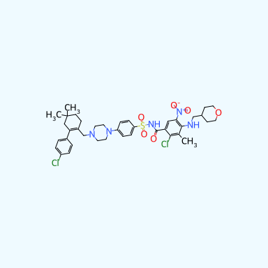 Cc1c(Cl)c(C(=O)NS(=O)(=O)c2ccc(N3CCN(CC4=C(c5ccc(Cl)cc5)CC(C)(C)CC4)CC3)cc2)cc([N+](=O)[O-])c1NCC1CCOCC1